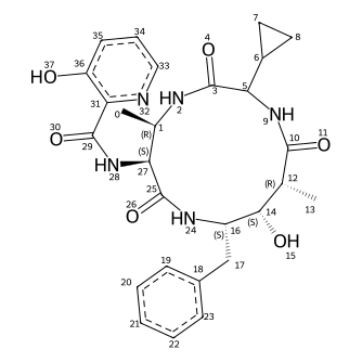 C[C@H]1NC(=O)C(C2CC2)NC(=O)[C@H](C)[C@H](O)[C@H](Cc2ccccc2)NC(=O)[C@H]1NC(=O)c1ncccc1O